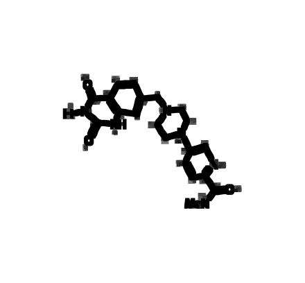 CCn1c(=O)[nH]c2cc(CN3CCN(c4ccc(C(=O)NC)nc4)CC3)ccc2c1=O